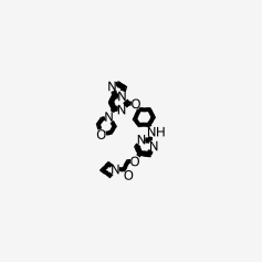 O=C(COc1cnc(NC2CCC(Oc3nc(N4CCOCC4)cc4nccn34)CC2)nc1)N1CCC1